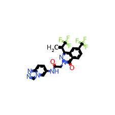 C=C(c1nn(CC(=O)Nc2ccc3nncn3c2)c(=O)c2ccc(C(F)(F)F)cc12)C(F)(F)F